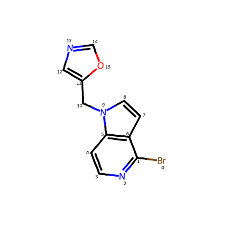 Brc1nccc2c1ccn2Cc1cnco1